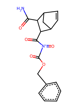 NC(=O)C1C2C=CC(C2)C1C(=O)[N+](=O)C(=O)OCc1ccccc1